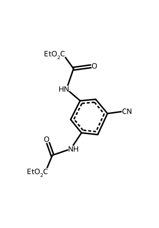 CCOC(=O)C(=O)Nc1cc(C#N)cc(NC(=O)C(=O)OCC)c1